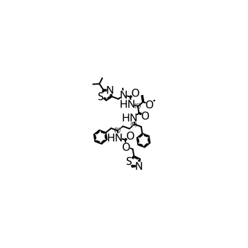 C=C(OC)[C@H](NC(=O)N(C)Cc1csc(C(C)C)n1)C(=O)N[C@H](CC[C@H](Cc1ccccc1)NC(=O)OCc1cncs1)Cc1ccccc1